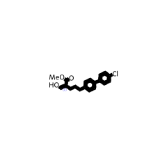 COC(=O)/C(=C\O)CCCc1ccc(-c2ccc(Cl)cc2)cc1